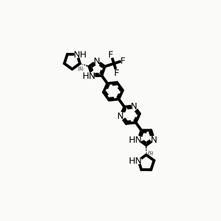 FC(F)(F)c1nc([C@@H]2CCCN2)[nH]c1-c1ccc(-c2ncc(-c3cnc([C@@H]4CCCN4)[nH]3)cn2)cc1